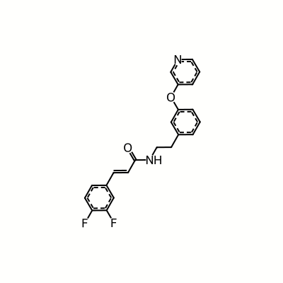 O=C(C=Cc1ccc(F)c(F)c1)NCCc1cccc(Oc2cccnc2)c1